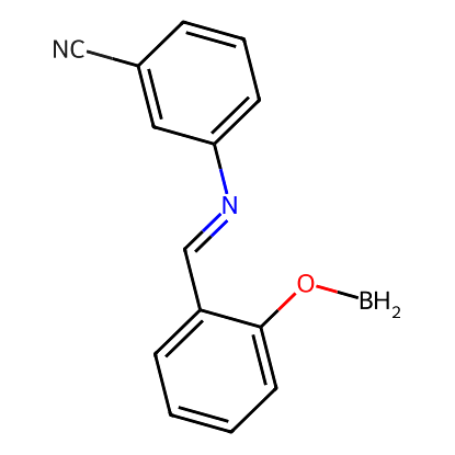 BOc1ccccc1/C=N/c1cccc(C#N)c1